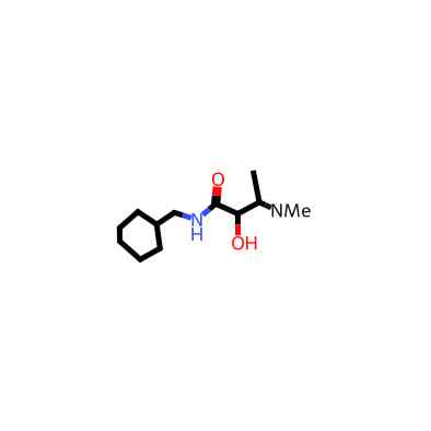 CNC(C)C(O)C(=O)NCC1CCCCC1